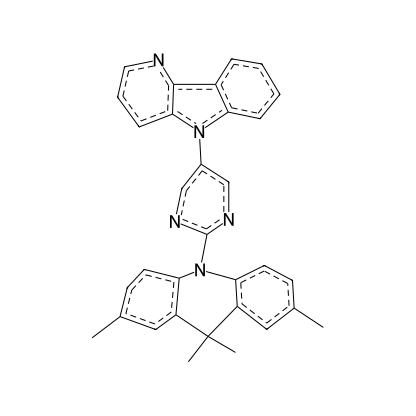 Cc1ccc2c(c1)C(C)(C)c1cc(C)ccc1N2c1ncc(-n2c3ccccc3c3ncccc32)cn1